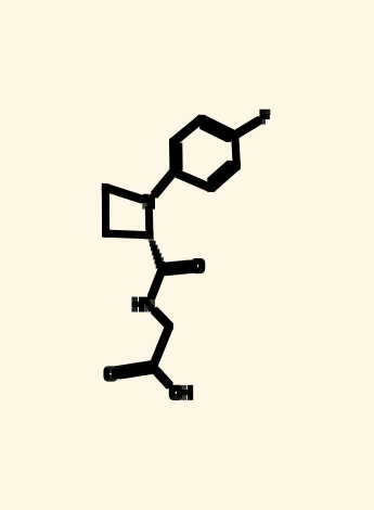 O=C(O)CNC(=O)[C@@H]1CCN1c1ccc(F)cc1